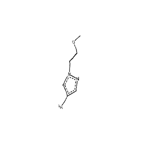 [2H]c1cnn(CCOC)c1